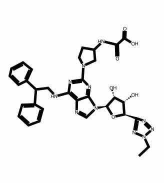 CCn1nnc([C@H]2O[C@@H](n3cnc4c(NCC(c5ccccc5)c5ccccc5)nc(N5CCC(NC(=O)C(=O)O)C5)nc43)[C@H](O)[C@@H]2O)n1